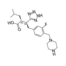 CC(C)C[C@H](C(=O)O)[C@H](Cc1ccc(CN2CCNCC2)c(F)c1)c1nn[nH]n1